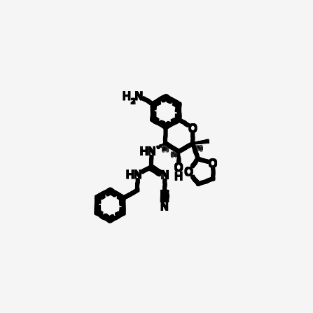 C[C@]1(C2OCCO2)Oc2ccc(N)cc2[C@@H](NC(=NC#N)NCc2ccccc2)[C@@H]1O